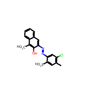 Cc1cc(S(=O)(=O)O)c(N=Nc2cc3ccccc3c(C(=O)O)c2O)cc1Cl